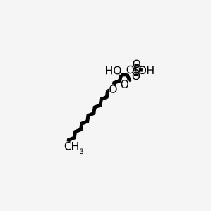 CCCCCCCCCCCCCCOCC1OCC(OS(=O)(=O)O)C1O